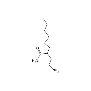 CCCCCCC(CCN)C(N)=O